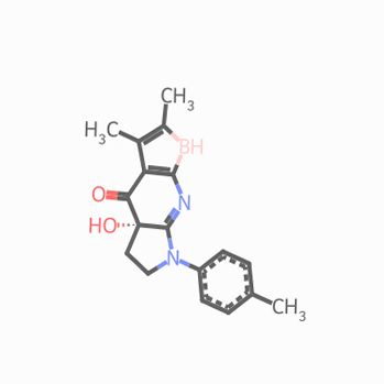 CC1=C(C)C2=C(B1)N=C1N(c3ccc(C)cc3)CC[C@@]1(O)C2=O